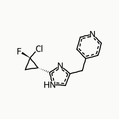 F[C@]1(Cl)C[C@H]1c1nc(Cc2ccncc2)c[nH]1